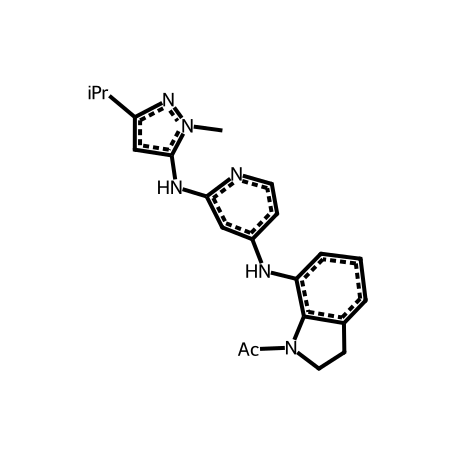 CC(=O)N1CCc2cccc(Nc3ccnc(Nc4cc(C(C)C)nn4C)c3)c21